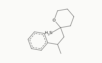 CC(CC1([SiH3])CCCCO1)c1ccccc1